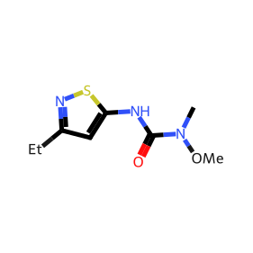 CCc1cc(NC(=O)N(C)OC)sn1